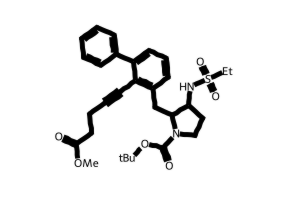 CCS(=O)(=O)NC1CCN(C(=O)OC(C)(C)C)C1Cc1cccc(-c2ccccc2)c1C#CCCC(=O)OC